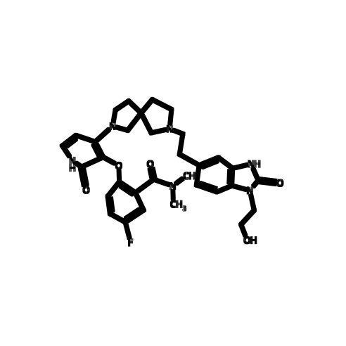 CN(C)C(=O)c1cc(F)ccc1Oc1c(N2CCC3(CCN(CCc4ccc5c(c4)[nH]c(=O)n5CCO)C3)C2)cc[nH]c1=O